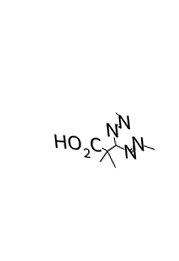 CN=NC(N=NC)C(C)(C)C(=O)O